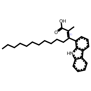 CCCCCCCCCCC/C(=C(/C)C(=O)O)c1cccc2c1[nH]c1ccccc12